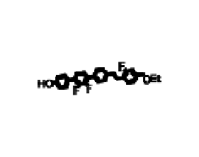 CCOCc1ccc(CCc2ccc(-c3ccc(-c4ccc(O)cc4)c(F)c3F)cc2)c(F)c1